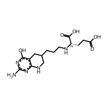 Nc1nc(O)c2c(n1)NCC(CCCN[C@@H](CCC(=O)O)C(=O)O)C2